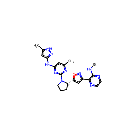 CCNc1nccnc1-c1cc([C@@H]2CCCN2c2nc(C)cc(Nc3cc(C)[nH]n3)n2)on1